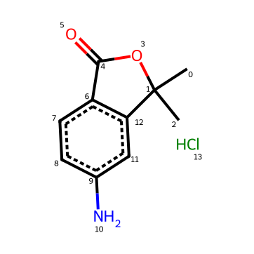 CC1(C)OC(=O)c2ccc(N)cc21.Cl